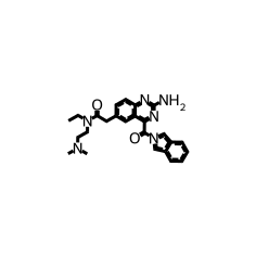 CCN(CCN(C)C)C(=O)Cc1ccc2nc(N)nc(C(=O)n3cc4ccccc4c3)c2c1